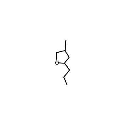 CCCC1CC(C)CO1